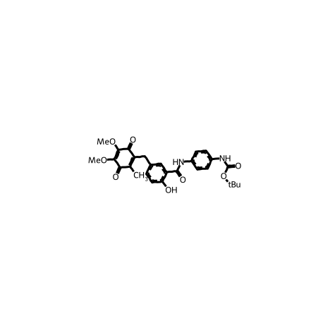 COC1=C(OC)C(=O)C(Cc2ccc(O)c(C(=O)Nc3ccc(NC(=O)OC(C)(C)C)cc3)c2)=C(C)C1=O